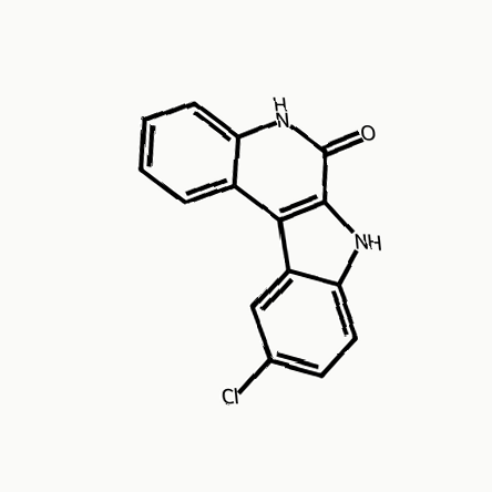 O=c1[nH]c2ccccc2c2c1[nH]c1ccc(Cl)cc12